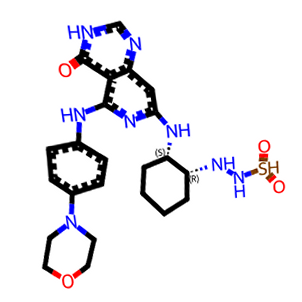 O=c1[nH]cnc2cc(N[C@H]3CCCC[C@H]3NN[SH](=O)=O)nc(Nc3ccc(N4CCOCC4)cc3)c12